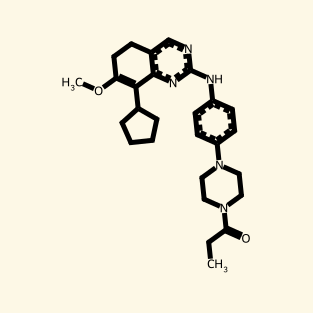 CCC(=O)N1CCN(c2ccc(Nc3ncc4c(n3)C(C3CCCC3)=C(OC)CC4)cc2)CC1